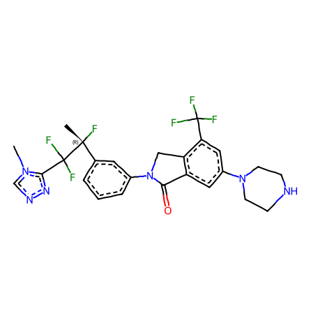 Cn1cnnc1C(F)(F)[C@](C)(F)c1cccc(N2Cc3c(cc(N4CCNCC4)cc3C(F)(F)F)C2=O)c1